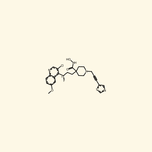 COc1ccc2ncc(Cl)c([C@H](F)CCC3(C(=O)NO)CCN(CC#Cc4cncs4)CC3)c2c1